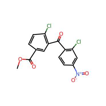 COC(=O)c1ccc(Cl)c(C(=O)c2ccc([N+](=O)[O-])cc2Cl)c1